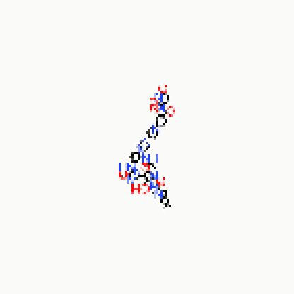 C=CC(=O)Nc1cc(Nc2nc(-c3ccnc(N4CCn5c(cc6c5CC(C)(C)C6)C4=O)c3CO)cnc2OC)ccc1N1CCN(C2CCN(c3ccc4c(c3)C(=O)N(C3CCC(=O)N(C)C3=O)C4=O)CC2)C[C@@H]1C